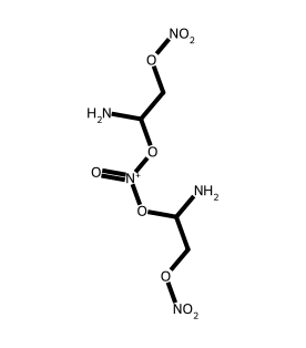 NC(CO[N+](=O)[O-])O[N+](=O)OC(N)CO[N+](=O)[O-]